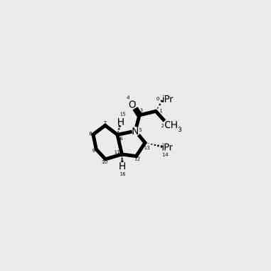 CC(C)[C@H](C)C(=O)N1[C@@H]2CCCC[C@@H]2C[C@H]1C(C)C